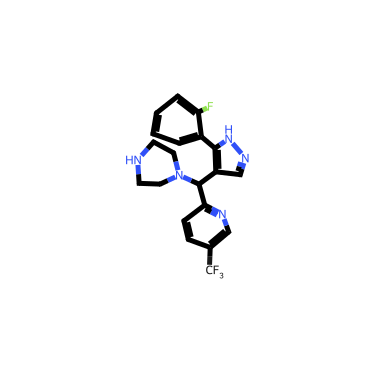 Fc1ccccc1-c1[nH]ncc1C(c1ccc(C(F)(F)F)cn1)N1CCNCC1